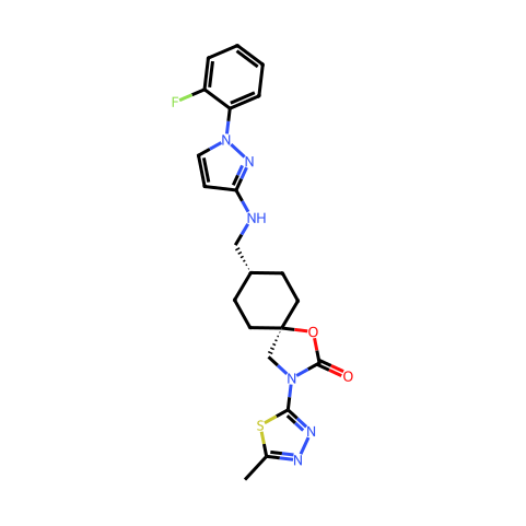 Cc1nnc(N2C[C@]3(CC[C@@H](CNc4ccn(-c5ccccc5F)n4)CC3)OC2=O)s1